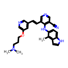 Cc1c(Nc2c(C#N)cncc2C=Cc2cncc(OCCCN(C)C)c2)ccc2[nH]ccc12